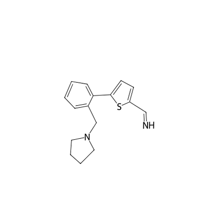 N=Cc1ccc(-c2ccccc2CN2CCCC2)s1